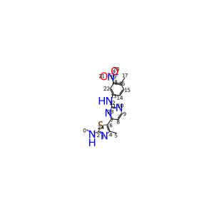 CNc1nc(C)c(-c2ccnc(Nc3ccc(C)c([N+](=O)[O-])c3)n2)s1